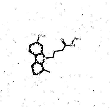 CCCC(C)NC(=O)CCCn1c2cc(OC)ccc2c2ccnc(C)c21